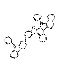 c1ccc(-n2c3ccccc3c3ccc(-c4ccc5oc6c(c5c4)c4ccccc4c4c5ccc7ccccc7c5n(-c5ccccc5)c64)cc32)cc1